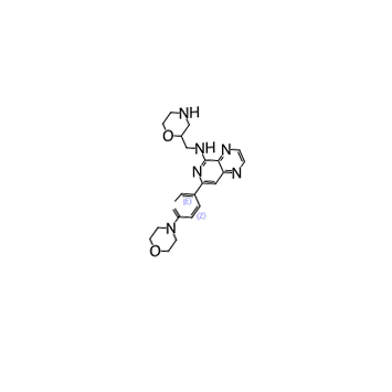 C=C(/C=C\C(=C/C)c1cc2nccnc2c(NCC2CNCCO2)n1)N1CCOCC1